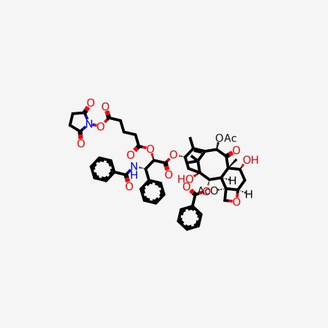 CC(=O)O[C@H]1C(=O)[C@@]2(C)[C@H]([C@H](OC(=O)c3ccccc3)[C@]3(O)C[C@H](OC(=O)[C@H](OC(=O)CCCC(=O)ON4C(=O)CCC4=O)[C@@H](NC(=O)c4ccccc4)c4ccccc4)C(C)=C1C3(C)C)[C@]1(OC(C)=O)CO[C@@H]1C[C@@H]2O